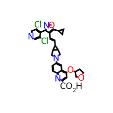 O=C(O)c1cc(OC2CCOC2)c2cc(N3CC4C(/C=C/c5c(-c6c(Cl)cncc6Cl)noc5C5CC5)C4C3)ccc2n1